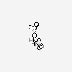 O=C(NC12CC3CC(CC(C3)C1)C2)N[C@H]1CC[C@H](OCc2ccccc2Cl)CC1